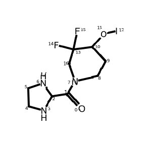 O=C(C1NCCN1)N1CCC(OI)C(F)(F)C1